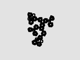 O=P1(C2C=CC=CC2)c2ccccc2Oc2cc(-c3cccc(-c4cc(-c5cccc(N(c6ccccc6)c6ccccc6)c5)c5cc(-c6cccc(-c7ccc8c(c7)Oc7ccccc7P8(=O)C7C=CC=CC7)c6)c(-c6cccc(N(c7ccccc7)c7ccccc7)c6)cc5c4)c3)ccc21